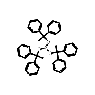 CC(OP(OC(C)(c1ccccc1)c1ccccc1)OC(C)(c1ccccc1)c1ccccc1)(c1ccccc1)c1ccccc1